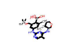 Cc1cnc(Nc2cc(C#N)c(B(O)O)c(CO[Si](C)(C)C(C)(C)C)c2)nc1N[C@@H]1COCC[C@H]1C#N